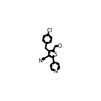 N#Cc1c(-c2ccncc2)sc(C=O)c1Cc1ccc(Cl)cc1